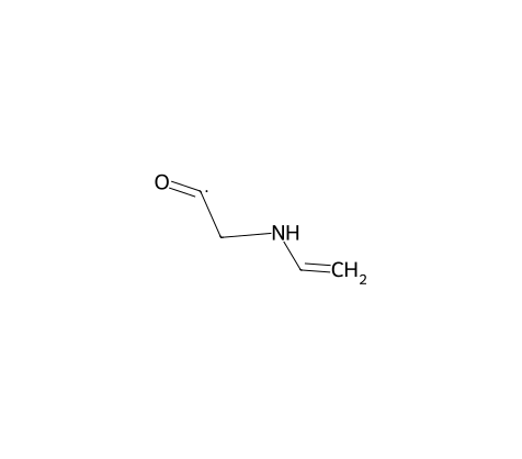 C=CNC[C]=O